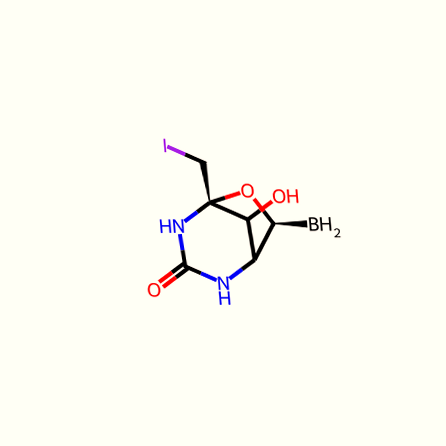 B[C@@H]1O[C@@]2(CI)NC(=O)NC1C2O